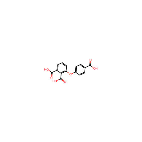 O=C(O)c1ccc(Oc2cccc(C(=O)O)c2C(=O)O)cc1